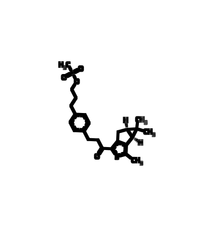 Cc1sc(C(=O)CCc2ccc(CCCOS(C)(=O)=O)cc2)c2c1[C@H]1[C@@H](C2)C1(C)C